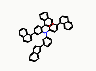 c1cc(-c2ccc3ccccc3c2)cc(N(c2ccc(-c3cccc4ccccc34)cc2)c2cc(-c3cccc4ccccc34)ccc2-c2cccc3ccccc23)c1